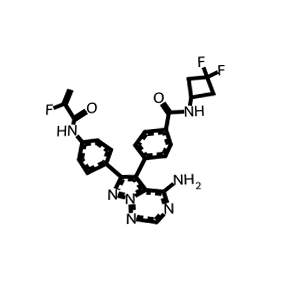 C=C(F)C(=O)Nc1ccc(-c2nn3ncnc(N)c3c2-c2ccc(C(=O)NC3CC(F)(F)C3)cc2)cc1